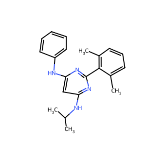 Cc1cccc(C)c1-c1nc(Nc2ccccc2)cc(NC(C)C)n1